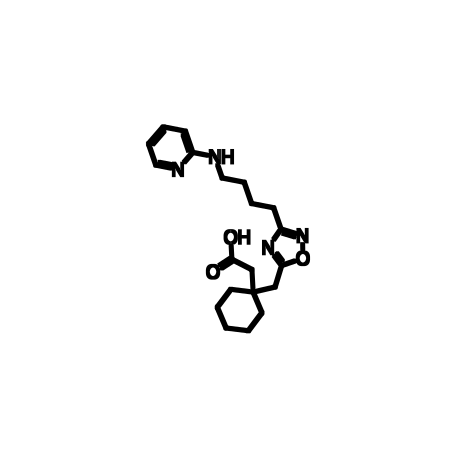 O=C(O)CC1(Cc2nc(CCCCNc3ccccn3)no2)CCCCC1